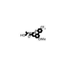 COc1cc(-c2ccc(C(F)(F)F)cc2F)c2ncc(C(=O)NC(C)CO)cc2c1